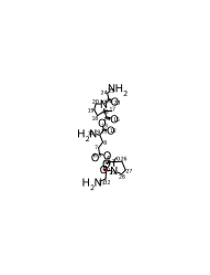 CC1(C(=O)OC(=O)CCC(N)C(=O)OC(=O)C2(C)CCCN2C(=O)CN)CCCN1C(=O)CN